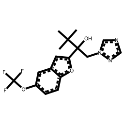 CC(C)(C)C(O)(Cn1cncn1)c1cc2cc(OC(F)(F)F)ccc2o1